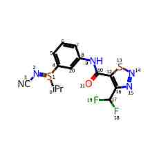 CC(C)/S(=N\C#N)c1cccc(NC(=O)c2snnc2C(F)F)c1